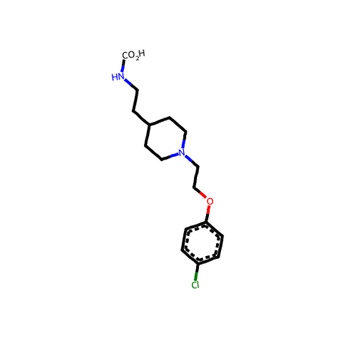 O=C(O)NCCC1CCN(CCOc2ccc(Cl)cc2)CC1